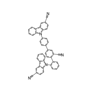 N#Cc1ccc2c(c1)c1ccccc1n2-c1ccc(-c2ccc(-c3ccccc3-n3c4ccccc4c4cc(C#N)ccc43)c(C#N)c2)cc1